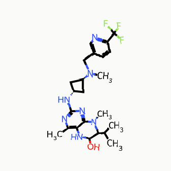 Cc1nc(N[C@H]2C[C@H](N(C)Cc3ccc(C(F)(F)F)nc3)C2)nc2c1NC(O)C(C(C)C)N2C